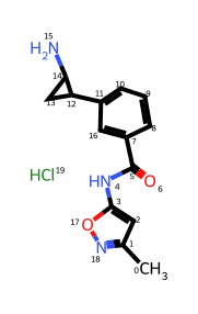 Cc1cc(NC(=O)c2cccc(C3CC3N)c2)on1.Cl